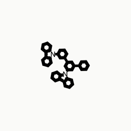 c1ccc(-c2cc(-c3cccc(-n4c5ccccc5c5ccccc54)c3)cc(-n3c4ccccc4c4ccccc43)c2)cc1